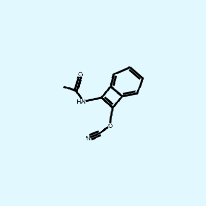 CC(=O)NC1=C(OC#N)c2ccccc21